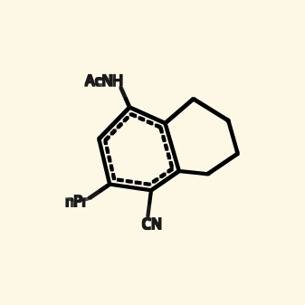 CCCc1cc(NC(C)=O)c2c(c1C#N)CCCC2